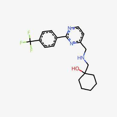 OC1(CNCc2ccnc(-c3ccc(C(F)(F)F)cc3)n2)CCCCC1